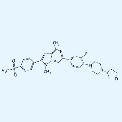 Cc1nc(-c2ccc(N3CCN(C4CCOC4)CC3)c(F)c2)cc2c1cc(-c1ccc(S(C)(=O)=O)cc1)n2C